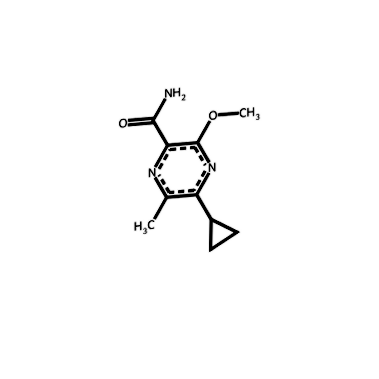 COc1nc(C2CC2)c(C)nc1C(N)=O